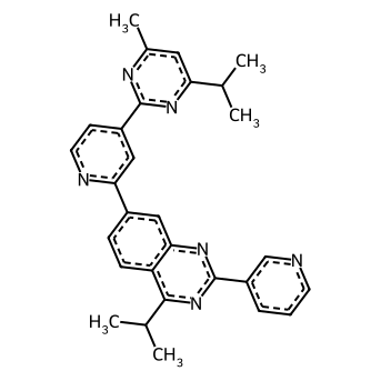 Cc1cc(C(C)C)nc(-c2ccnc(-c3ccc4c(C(C)C)nc(-c5cccnc5)nc4c3)c2)n1